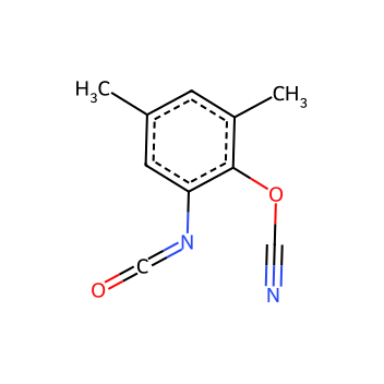 Cc1cc(C)c(OC#N)c(N=C=O)c1